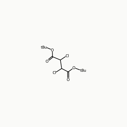 CC(C)(C)OC(=O)C(Cl)C(Cl)C(=O)OC(C)(C)C